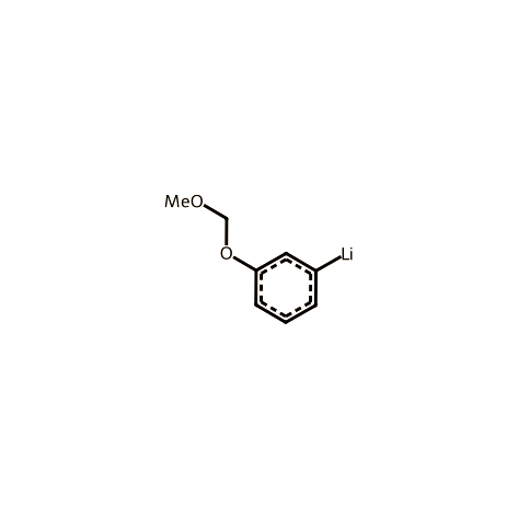 [Li][c]1cccc(OCOC)c1